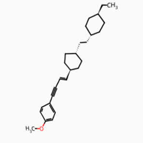 CC[C@H]1CC[C@H](CC[C@H]2CC[C@H](C=CC#Cc3ccc(OC)cc3)CC2)CC1